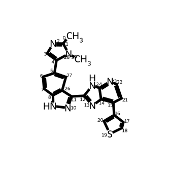 Cc1ncc(-c2ccc3[nH]nc(-c4nc5c(-c6ccsc6)ccnc5[nH]4)c3c2)n1C